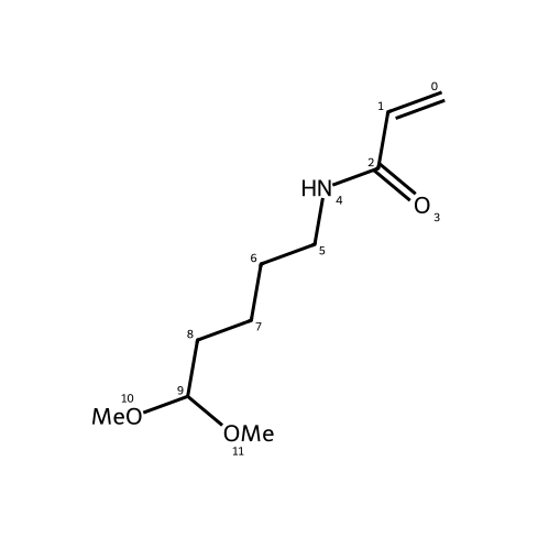 C=CC(=O)NCCCCC(OC)OC